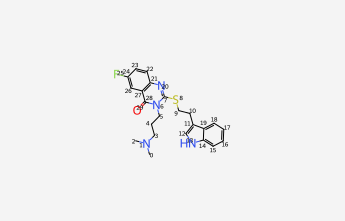 CN(C)CCCn1c(SCCc2c[nH]c3ccccc23)nc2ccc(F)cc2c1=O